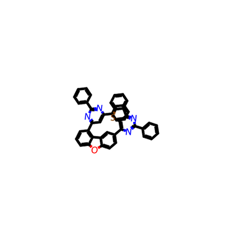 c1ccc(-c2cc(-c3cccc4oc5ccc(-c6nc(-c7ccccc7)nc7c6sc6ccccc67)cc5c34)nc(-c3ccccc3)n2)cc1